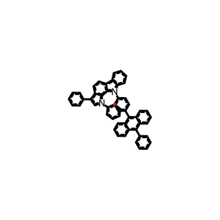 c1ccc(-c2c3ccccc3c(-c3ccc(-n4c5ccccc5c5ccc6c(-c7ccccc7)cn(-c7ccccc7)c6c54)cc3)c3ccccc23)cc1